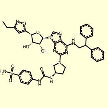 CCc1cc([C@H]2O[C@@H](n3cnc4c(NCC(c5ccccc5)c5ccccc5)nc(N5CC[C@@H](NC(=O)Nc6ccc(S(N)(=O)=O)cc6)C5)nc43)[C@H](O)[C@@H]2O)on1